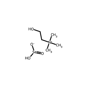 C[N+](C)(C)CCO.O=[Se]([O-])O